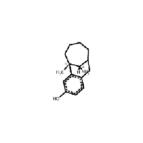 C[C@]12CCCCC(Cc3ccc(O)cc31)[C@@H]2N